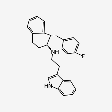 Fc1ccc(C[C@H]2c3ccccc3CC[C@@H]2NCCc2c[nH]c3ccccc23)cc1